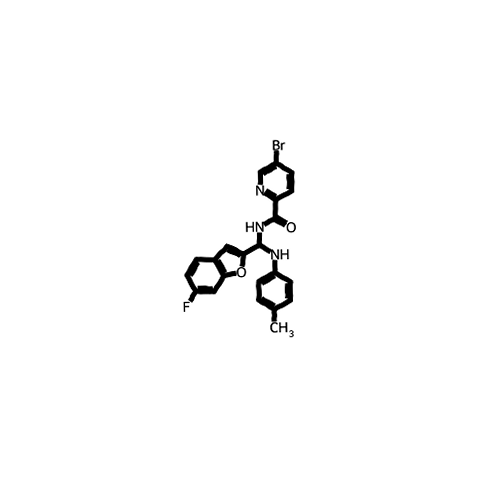 Cc1ccc(NC(NC(=O)c2ccc(Br)cn2)c2cc3ccc(F)cc3o2)cc1